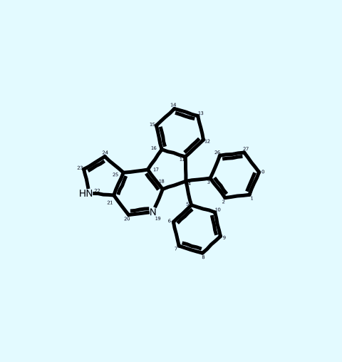 c1ccc(C2(c3ccccc3)c3ccccc3-c3c2ncc2[nH]ccc32)cc1